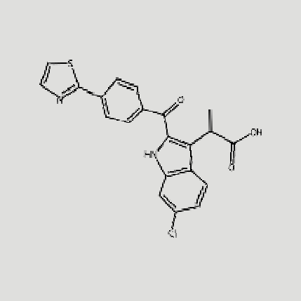 CC(C(=O)O)c1c(C(=O)c2ccc(-c3nccs3)cc2)[nH]c2cc(Cl)ccc12